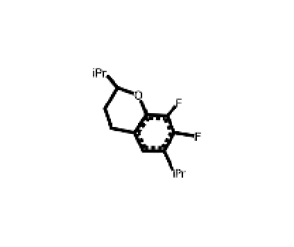 CC(C)c1cc2c(c(F)c1F)OC(C(C)C)CC2